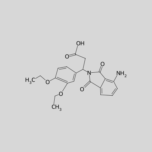 CCOc1ccc(C(CC(=O)O)N2C(=O)c3cccc(N)c3C2=O)cc1OCC